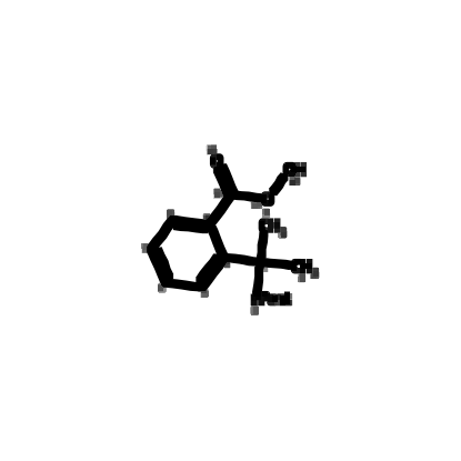 CCCCCC(C)(C)c1ccccc1C(=O)OO